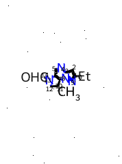 CCc1cc2ncc3c(n2n1)C(C)CN3C=O